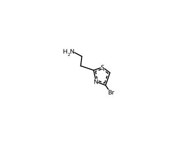 NCCc1nc(Br)cs1